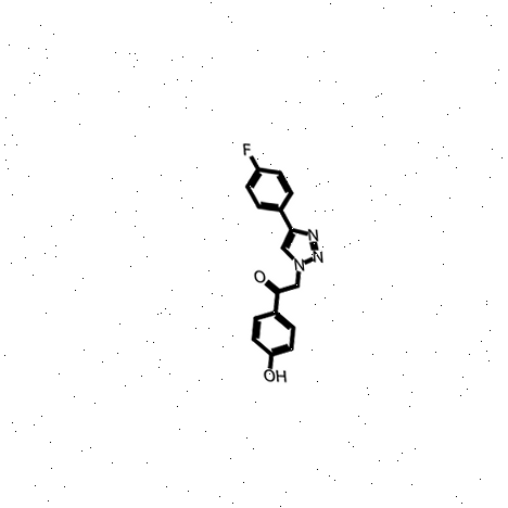 O=C(Cn1cc(-c2ccc(F)cc2)nn1)c1ccc(O)cc1